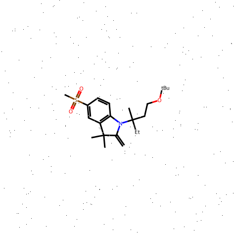 C=C1N(C(C)(CC)CCOC(C)(C)C)c2ccc(S(C)(=O)=O)cc2C1(C)C